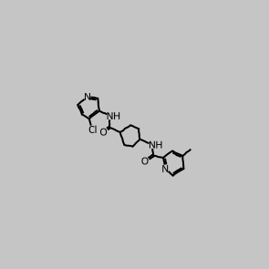 Cc1ccnc(C(=O)NC2CCC(C(=O)Nc3cnccc3Cl)CC2)c1